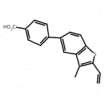 C=Cc1sc2ccc(-c3ccc(C(=O)O)cc3)cc2c1C